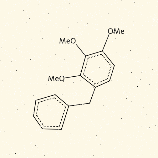 COc1c[c]c(Cc2ccccc2)c(OC)c1OC